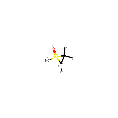 C[C@H]1C(C)(C)[SH]1(=O)C#N